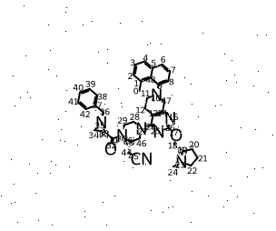 Cc1cccc2cccc(N3CCc4c(nc(OC[C@@H]5CCCN5C)nc4N4CCN(C(=O)[C@H]5CN5Cc5ccccc5)[C@@H](CC#N)C4)C3)c12